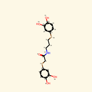 O=C(CSc1ccc(O)c(O)c1)NCCCSc1ccc(O)c(O)c1